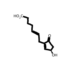 O=C(O)CCCC=CCC1=C[C@H](O)CC1=O